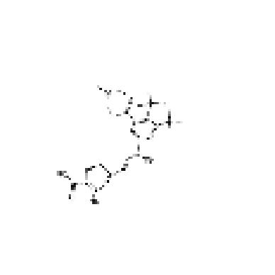 CN1CC=C(c2cc(C(O)C=Cc3ccc(C(=O)O)c(O)c3)cc3c2C(C)(C)CCC3(C)C)CC1